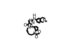 CN1CCc2cc(Nc3ncc4c(=O)n5n(c4n3)-c3ccc4c(c3)N(CCC/C=C\C5)C(=O)CO4)ccc2C1